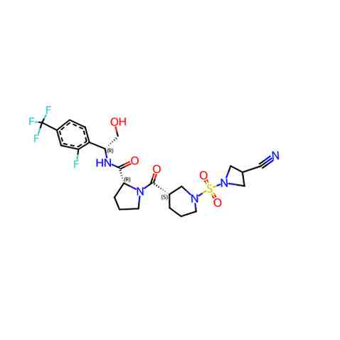 N#CC1CN(S(=O)(=O)N2CCC[C@H](C(=O)N3CCC[C@@H]3C(=O)N[C@@H](CO)c3ccc(C(F)(F)F)cc3F)C2)C1